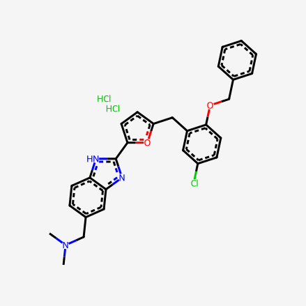 CN(C)Cc1ccc2[nH]c(-c3ccc(Cc4cc(Cl)ccc4OCc4ccccc4)o3)nc2c1.Cl.Cl